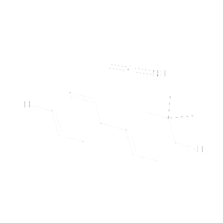 N=C=O.[2H]C1=CC=C(c2ccc([2H])cc2)CC1(C)C